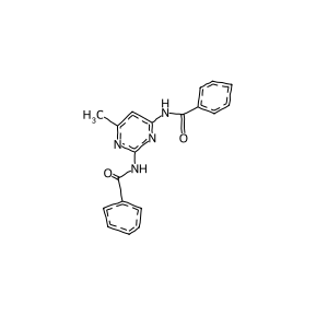 Cc1cc(NC(=O)c2ccccc2)nc(NC(=O)c2ccccc2)n1